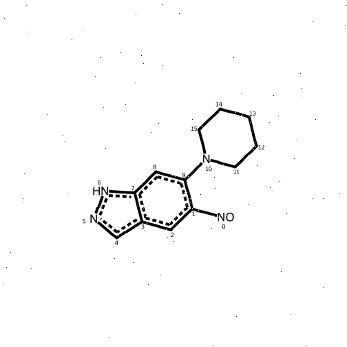 O=Nc1cc2cn[nH]c2cc1N1CCCCC1